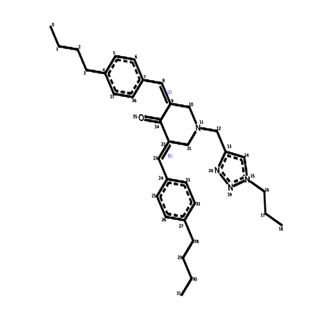 CCCCc1ccc(/C=C2/CN(Cc3cn(CCC)nn3)C/C(=C\c3ccc(CCCC)cc3)C2=O)cc1